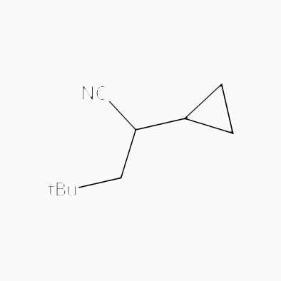 CC(C)(C)CC(C#N)C1CC1